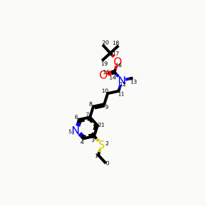 CCSc1cncc(C=CCCN(C)C(=O)OC(C)(C)C)c1